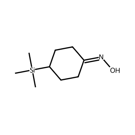 C[Si](C)(C)C1CCC(=NO)CC1